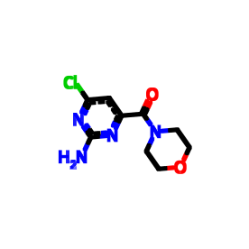 Nc1nc(Cl)cc(C(=O)N2CCOCC2)n1